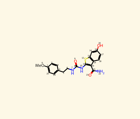 COc1ccc(CCNC(=O)Nc2sc3cc(O)ccc3c2C(N)=O)cc1